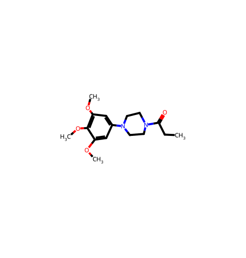 CCC(=O)N1CCN(c2cc(OC)c(OC)c(OC)c2)CC1